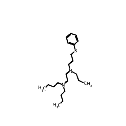 CCCCN(CCCC)CCN(CCC)CCCSc1ccccc1